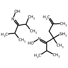 C=C(C)CC(C)([SiH3])C(=NO)C(C)C.CC(C)C(=NO)C(C)C